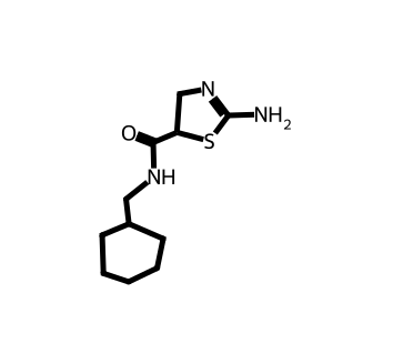 NC1=NCC(C(=O)NCC2CCCCC2)S1